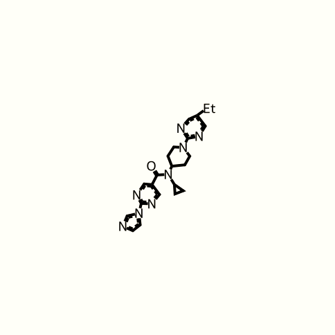 CCc1cnc(N2CCC(N(C(=O)c3cnc(-n4ccnc4)nc3)C3CC3)CC2)nc1